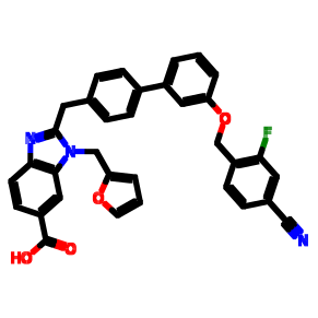 N#Cc1ccc(COc2cccc(-c3ccc(Cc4nc5ccc(C(=O)O)cc5n4Cc4ccco4)cc3)c2)c(F)c1